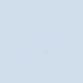 COC(=O)c1ccc(Cl)c(NC(=S)Nc2cnc(OC)cc2C)c1NCCCO